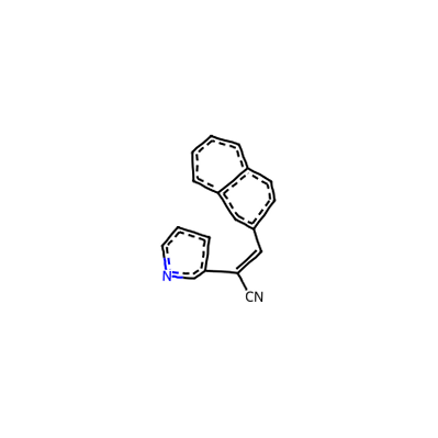 N#CC(=Cc1ccc2ccccc2c1)c1cccnc1